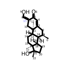 C[C@@H]1CC2=CC(=O)/C(=C\O)C[C@]2(C)[C@H]2CC[C@@]3(C)[C@@H](CC[C@]3(C)O)[C@H]12